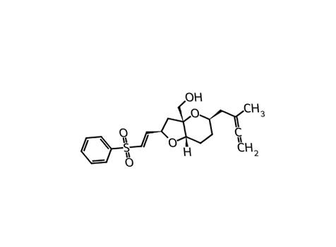 C=C=C(C)C[C@H]1CC[C@@H]2O[C@@H](/C=C/S(=O)(=O)c3ccccc3)C[C@]2(CO)O1